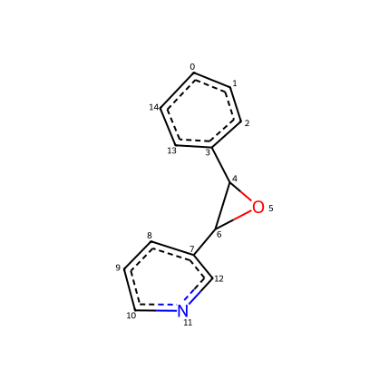 c1ccc(C2OC2c2cccnc2)cc1